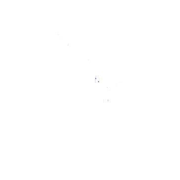 CC12CCC(=O)CC1CCN(C(=O)OCc1ccccc1)C2